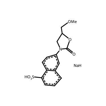 COCC1CN(c2ccc3c(S(=O)(=O)O)[c]ccc3c2)C(=O)O1.[NaH]